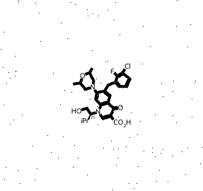 CC1CN(c2cc3c(cc2Cc2cccc(Cl)c2F)c(=O)c(C(=O)O)cn3[C@H](CO)C(C)C)CC(C)O1